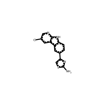 Nc1nc(-c2ccc3[nH]c4ncc(Cl)cc4c3c2)cs1